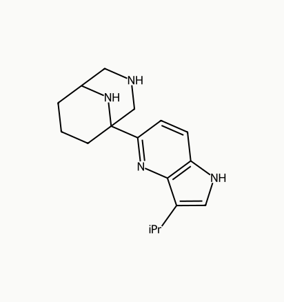 CC(C)c1c[nH]c2ccc(C34CCCC(CNC3)N4)nc12